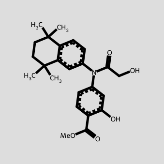 COC(=O)c1ccc(N(C(=O)CO)c2ccc3c(c2)C(C)(C)CCC3(C)C)cc1O